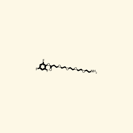 NCCOCCOCCOCCOCCC(=O)Oc1c(F)cc(F)cc1F